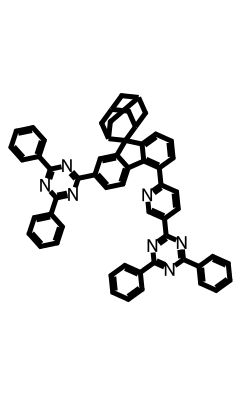 c1ccc(-c2nc(-c3ccccc3)nc(-c3ccc(-c4cccc5c4-c4ccc(-c6nc(-c7ccccc7)nc(-c7ccccc7)n6)cc4C54C5CC6CC(C5)CC4C6)nc3)n2)cc1